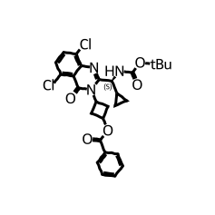 CC(C)(C)OC(=O)N[C@H](c1nc2c(Cl)ccc(Cl)c2c(=O)n1C1CC(OC(=O)c2ccccc2)C1)C1CC1